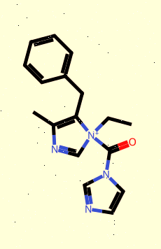 CC[N+]1(C(=O)n2ccnc2)C=NC(C)=C1Cc1ccccc1